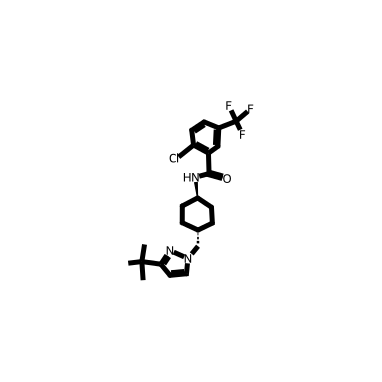 CC(C)(C)c1ccn(C[C@H]2CC[C@H](NC(=O)c3cc(C(F)(F)F)ccc3Cl)CC2)n1